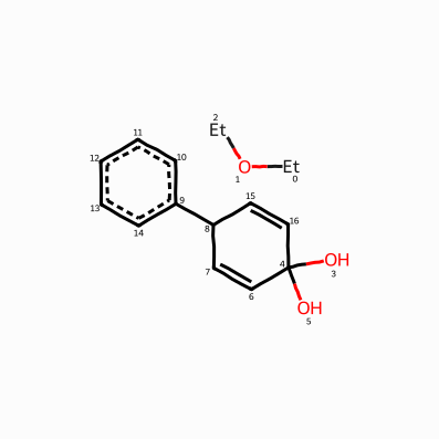 CCOCC.OC1(O)C=CC(c2ccccc2)C=C1